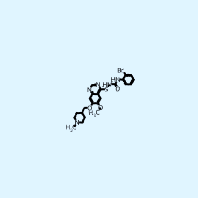 COc1cc2c(SNC(=O)Nc3ccccc3Br)ncnc2cc1OCC1CCN(C)CC1